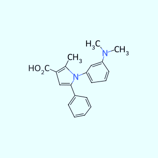 Cc1c(C(=O)O)cc(-c2ccccc2)n1-c1cccc(N(C)C)c1